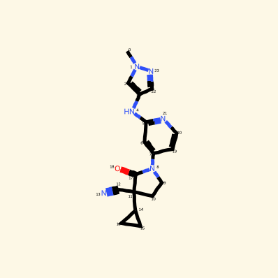 Cn1cc(Nc2cc(N3CCC(C#N)(C4CC4)C3=O)ccn2)cn1